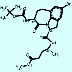 CNC(=O)CC[C@@H](C)NC(=O)[C@@H]1Cc2cc(Br)cc3c2N1C(=O)[C@@H](NC(=O)OC(C)(C)C)CC3